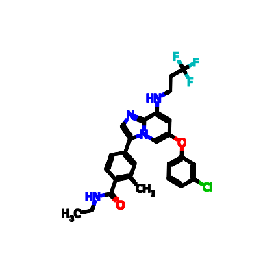 CCNC(=O)c1ccc(-c2cnc3c(NCCC(F)(F)F)cc(Oc4cccc(Cl)c4)cn23)cc1C